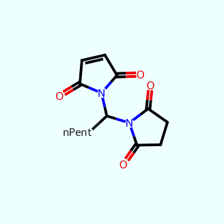 CCCCCC(N1C(=O)C=CC1=O)N1C(=O)CCC1=O